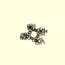 CCOc1cc(C2c3cc(c(OC)cc3O)C(c3ccc(O)c(OCC)c3)c3cc(c(C)cc3O)C(c3ccc(O)c(C)c3)c3cc(c(C)cc3O)C(c3ccc(O)c(C)c3)c3cc2c(OC)cc3O)ccc1O